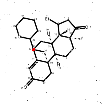 CCC1CC(=O)[C@@]2(C)CC[C@@H]3[C@@H](CCC4=CC(=O)CC[C@@]43COC3CCCCO3)[C@H]12